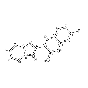 O=c1oc2cc(F)ccc2cc1-c1cc2ccccc2o1